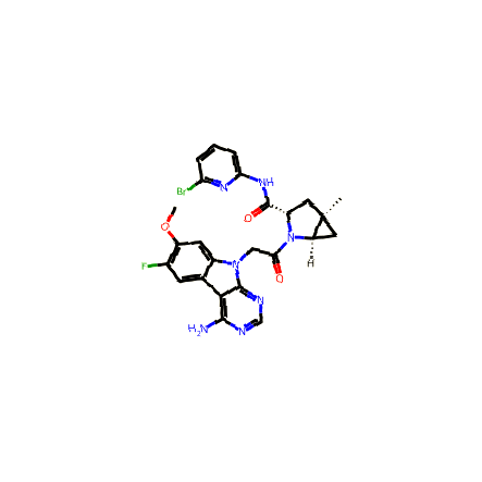 COc1cc2c(cc1F)c1c(N)ncnc1n2CC(=O)N1[C@H](C(=O)Nc2cccc(Br)n2)C[C@@]2(C)C[C@@H]12